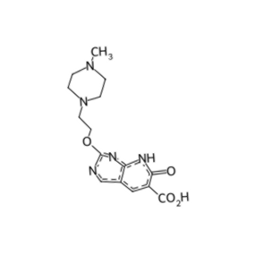 CN1CCN(CCOc2ncc3cc(C(=O)O)c(=O)[nH]c3n2)CC1